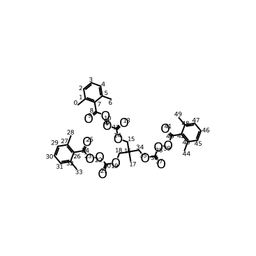 Cc1cccc(C)c1C(=O)OOC(=O)OCC(C)(COC(=O)OOC(=O)c1c(C)cccc1C)COC(=O)OOC(=O)c1c(C)cccc1C